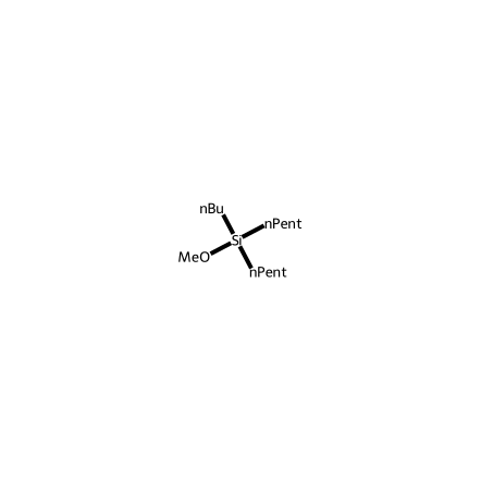 CCCCC[Si](CCCC)(CCCCC)OC